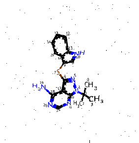 CC(C)(C)n1nc(Sc2c[nH]c3ccccc23)c2c(N)ncnc21